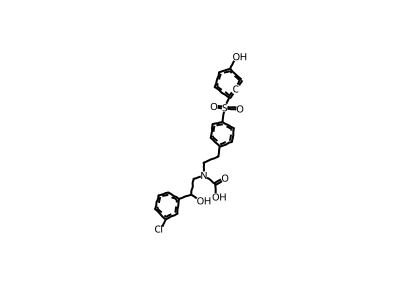 O=C(O)N(CCc1ccc(S(=O)(=O)c2ccc(O)cc2)cc1)CC(O)c1cccc(Cl)c1